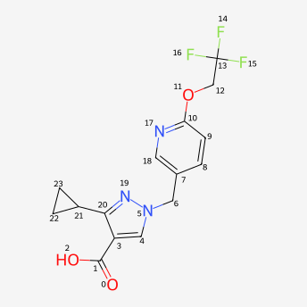 O=C(O)c1cn(Cc2ccc(OCC(F)(F)F)nc2)nc1C1CC1